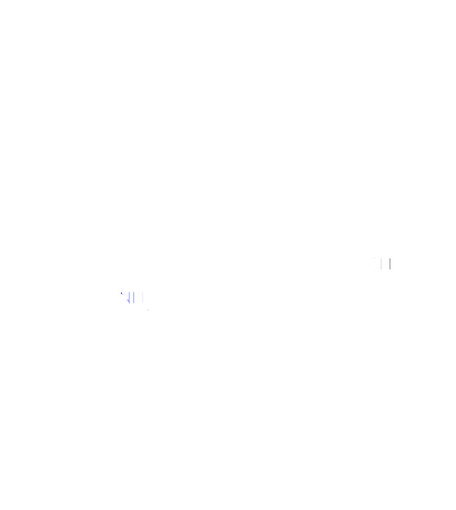 CCCCc1ccc(C#Cc2ccccc2N)cc1